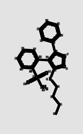 CCCCSc1onc(-c2ccccc2)c1-c1ccccc1S(N)(=O)=O